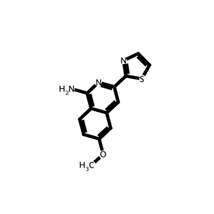 COc1ccc2c(N)nc(-c3nccs3)cc2c1